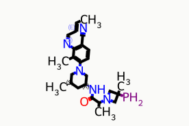 C/C=C/C=N\c1c(C#N)ccc(N2C[C@@H](C)C[C@@H](NC(=O)C(C)N3CC(C)(P)C3)C2)c1C